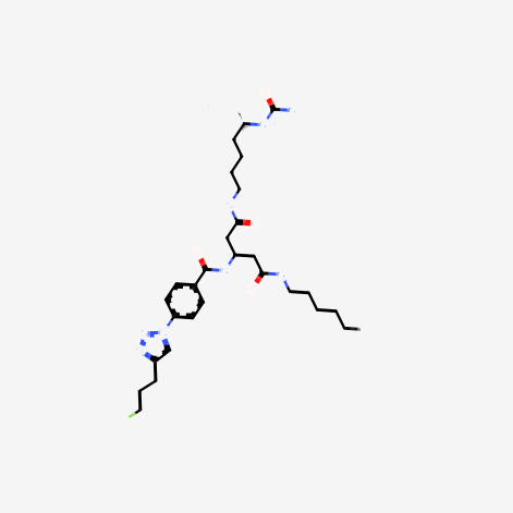 NC(=O)N[C@@H](CCCCNC(=O)CC(CC(=O)NCCCCCC(=O)O)NC(=O)c1ccc(-n2cc(CCCF)nn2)cc1)C(=O)O